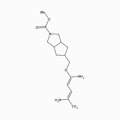 C/C(N)=C/C=C(\N)OCC1CC2CN(C(=O)OC(C)(C)C)CC2C1